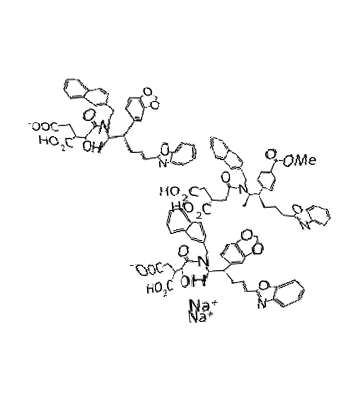 COC(=O)c1ccc([C@@H](CCCc2nc3ccccc3o2)[C@@H](C)N(Cc2ccc3ccccc3c2)C(=O)C[C@@H](CC(=O)O)C(=O)O)cc1.C[C@H]([C@H](C/C=C/c1nc2ccccc2o1)c1ccc2c(c1)OCO2)N(Cc1ccc2ccccc2c1)C(=O)C(O)C(CC(=O)[O-])C(=O)O.C[C@H]([C@H](C/C=C/c1nc2ccccc2o1)c1ccc2c(c1)OCO2)N(Cc1ccc2ccccc2c1)C(=O)[C@@H](O)[C@H](CC(=O)[O-])C(=O)O.[Na+].[Na+]